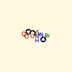 O=C1NC(=Nc2ccccc2Br)SC1=Cc1ccc2c(c1)OCO2